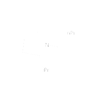 C=C(CCC)N1CCCC1C(C)C